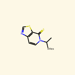 CCCCCCC(C)n1ccc2ncsc2c1=S